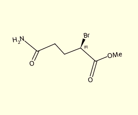 COC(=O)[C@H](Br)CCC(N)=O